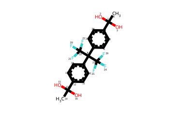 CC(O)(O)c1ccc(C(c2ccc(C(C)(O)O)cc2)(C(F)(F)F)C(F)(F)F)cc1